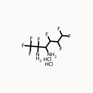 Cl.Cl.NC(C(F)C(F)C(F)F)C(N)(F)C(F)(F)F